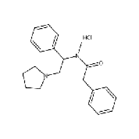 CN(C(=O)Cc1ccccc1)C(CN1CCCC1)c1ccccc1.Cl